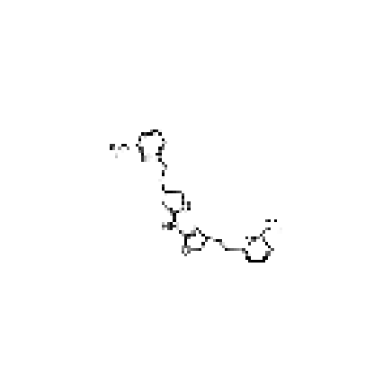 FC(F)(F)c1cccc(CCC2COC(NC3=NC(CCc4cccc(C(F)(F)F)n4)CO3)=N2)n1